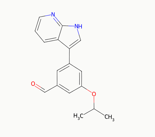 CC(C)Oc1cc(C=O)cc(-c2c[nH]c3ncccc23)c1